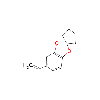 C=Cc1ccc2c(c1)OC1(CCCC1)O2